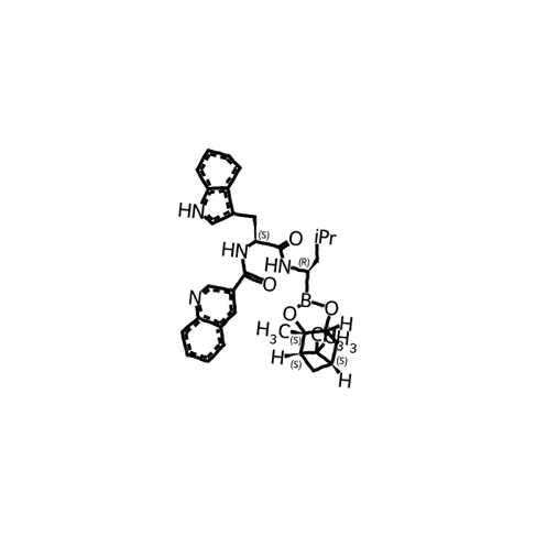 CC(C)C[C@H](NC(=O)[C@H](Cc1c[nH]c2ccccc12)NC(=O)c1cnc2ccccc2c1)B1O[C@@H]2C[C@@H]3C[C@@H](C3(C)C)[C@]2(C)O1